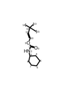 O=C(NC1CCCCC1)OC=CC(I)(I)I